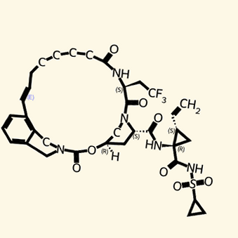 C=C[C@@H]1C[C@]1(NC(=O)[C@@H]1C[C@@H]2CN1C(=O)[C@H](CC(F)(F)F)NC(=O)CCCCC/C=C/c1cccc3c1CN(C3)C(=O)O2)C(=O)NS(=O)(=O)C1CC1